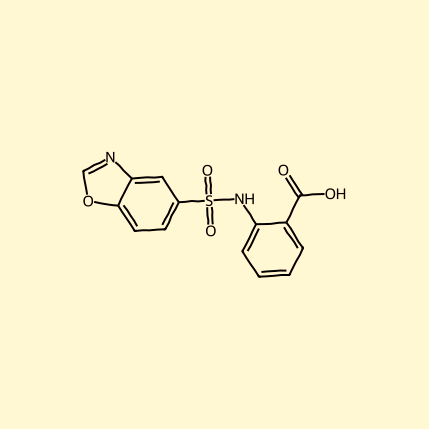 O=C(O)c1ccccc1NS(=O)(=O)c1ccc2ocnc2c1